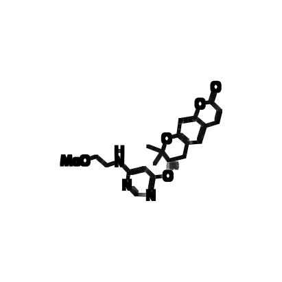 COCCNc1cc(O[C@H]2Cc3cc4ccc(=O)oc4cc3OC2(C)C)ncn1